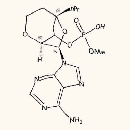 CCC[C@]12CCO[C@@H](C1OP(=O)(O)OC)[C@H](n1cnc3c(N)ncnc31)O2